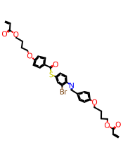 C=CC(=O)OCCCCOc1ccc(/C=N/c2ccc(SC(=O)c3ccc(OCCCCOC(=O)C=C)cc3)cc2Br)cc1